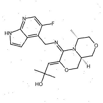 C[C@@H]1COC[C@H]2COC(=C\C(C)(C)O)/C(=N\Cc3c(F)cnc4[nH]ccc34)N21